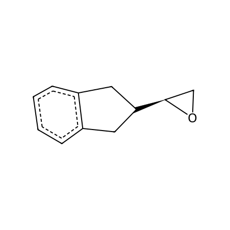 c1ccc2c(c1)CC([C@H]1CO1)C2